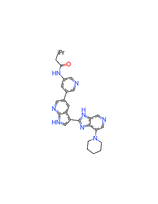 CC(C)CC(=O)Nc1cncc(-c2cnc3[nH]cc(-c4nc5c(N6CCCCC6)cncc5[nH]4)c3c2)c1